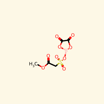 COC(=O)CS(=O)(=O)OB1OC(=O)C(=O)O1